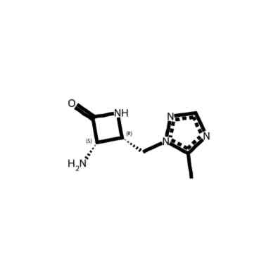 Cc1ncnn1C[C@H]1NC(=O)[C@H]1N